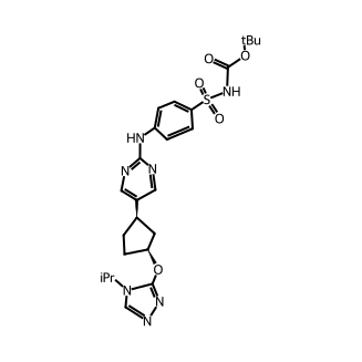 CC(C)n1cnnc1O[C@H]1CC[C@@H](c2cnc(Nc3ccc(S(=O)(=O)NC(=O)OC(C)(C)C)cc3)nc2)C1